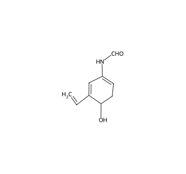 C=CC1=CC(NC=O)=CCC1O